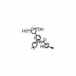 C#Cc1c[nH]c(C(=O)Nc2ccc(C3C[C@](C)(CO)O[C@](C)(CO)C3)nc2C2=CCC(C)(C)CC2)n1